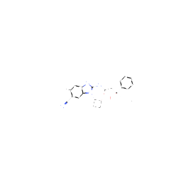 Cc1cc2nc(NC(O)C[C@@](C)(O)c3ccccc3)n(C3CCC3)c2cc1C#N